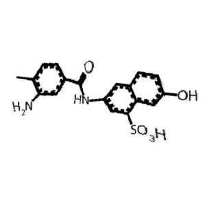 Cc1ccc(C(=O)Nc2cc(S(=O)(=O)O)c3cc(O)ccc3c2)cc1N